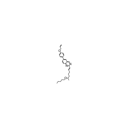 C=CCOc1ccc(-c2ccc3nc(C=CCCCC(C)OCCCCC)ncc3c2)cc1